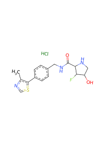 Cc1ncsc1-c1ccc(CNC(=O)C2NCC(O)C2F)cc1.Cl